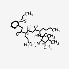 CCCCC(NC(=O)[C@@H](N)[C@H](C)C(C)C)C(=O)CN[C@@H](CCCC)C(=O)Cc1ccccc1S(=S)CC